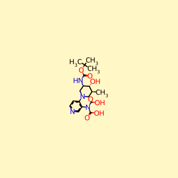 C[C@H]1CN(c2ccncc2N(C(=O)O)C(=O)O)C[C@@H](NC(=O)OC(C)(C)C)[C@@H]1O